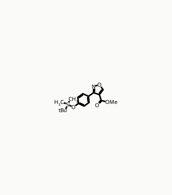 COC(=O)c1conc1-c1ccc(O[Si](C)(C)C(C)(C)C)cc1